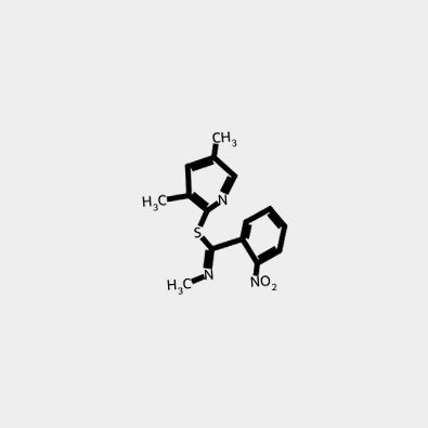 C/N=C(\Sc1ncc(C)cc1C)c1ccccc1[N+](=O)[O-]